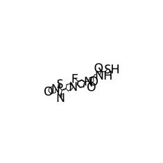 N#CC(C(=S)N1CCOCC1)=C1CCN(c2ccc(N3CC(CNC(=O)CS)OC3=O)cc2F)CC1